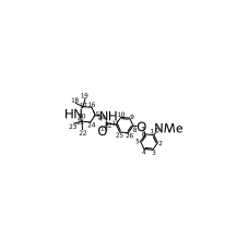 CNc1ccccc1Oc1ccc(C(=O)NC2CC(C)(C)NC(C)(C)C2)cc1